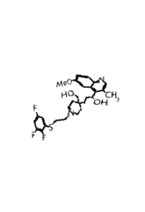 COc1ccc2ncc(C)c([C@H](O)CCC3(CO)CCN(CCSc4cc(F)cc(F)c4F)CC3)c2c1